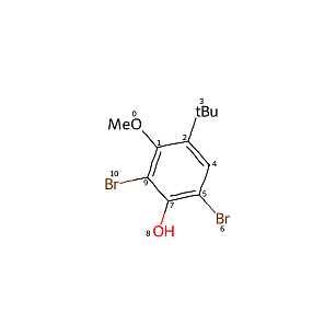 COc1c(C(C)(C)C)cc(Br)c(O)c1Br